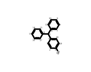 Fc1ccc([C](c2ccccc2)c2ccccc2)cc1